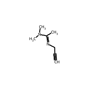 C#CC/N=C(\C)N(C)C